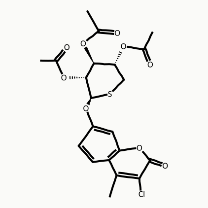 CC(=O)O[C@@H]1[C@@H](OC(C)=O)[C@H](OC(C)=O)CS[C@H]1Oc1ccc2c(C)c(Cl)c(=O)oc2c1